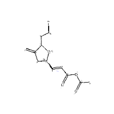 C=C1C[C@H](/C=C/C(=O)OC(C)=O)OC1CCI